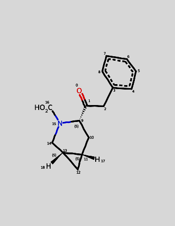 O=C(Cc1ccccc1)[C@@H]1C[C@@H]2C[C@@H]2CN1C(=O)O